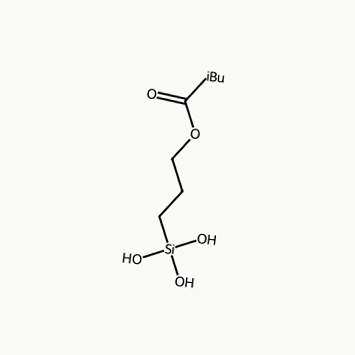 CCC(C)C(=O)OCCC[Si](O)(O)O